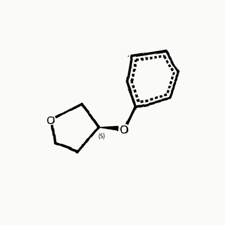 [c]1cccc(O[C@H]2CCOC2)c1